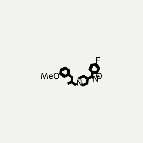 COc1cccc(CC(C)CN2CCC(c3noc4cc(F)ccc34)CC2)c1